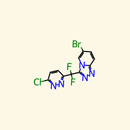 FC(F)(c1ccc(Cl)nn1)c1nnc2ccc(Br)cn12